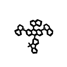 CC1(C)c2ccccc2-c2ccc(-c3c4ccc(N5CCCc6ccccc65)cc4c(-c4cccc5ccccc45)c4cc(N5CCCc6ccccc65)ccc34)cc21